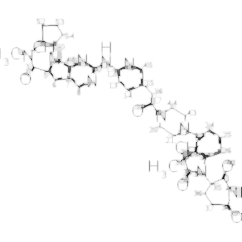 CN(C)C(=O)c1cc2cnc(Nc3ccc(CC(=O)N4CCN(c5cccc6c5C(C)(C)C(=O)N6[C@@H]5CCC(=O)NC5=O)CC4)cn3)nc2n1C1CCCC1